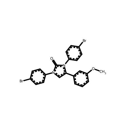 COc1cccc(-c2cn(-c3ccc(Br)cc3)c(=O)n2-c2ccc(Br)cc2)c1